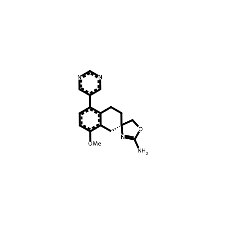 COc1ccc(-c2cncnc2)c2c1C[C@]1(CC2)COC(N)=N1